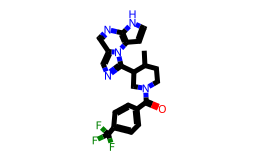 CC1CCN(C(=O)c2ccc(C(F)(F)F)cc2)CC1c1ncc2cnc3[nH]ccc3n12